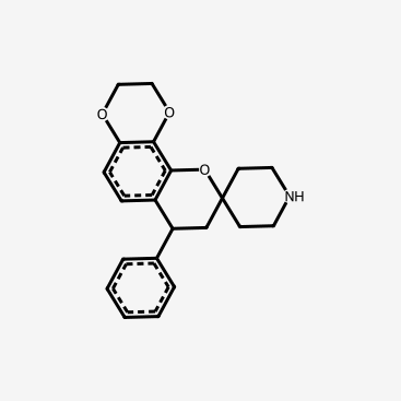 c1ccc(C2CC3(CCNCC3)Oc3c2ccc2c3OCCO2)cc1